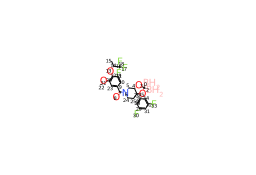 BC1(B)OC2CN(C(=O)c3ccc(OC(C)C(F)(F)F)c(OC)c3)CC[C@]2(c2cc(F)cc(F)c2)O1